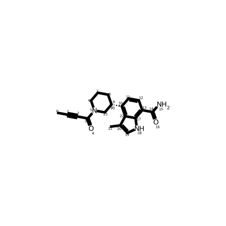 CC#CC(=O)N1CCC[C@H](c2ccc(C(N)=O)c3[nH]cc(C)c23)C1